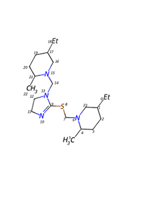 CCC1CCC(C)N(CSC2=NCCN2CN2CC(CC)CCC2C)C1